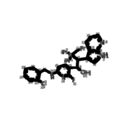 CC(C)[Si](C(C)C)(C(C)C)C(c1c[nH]c2ncccc12)C(O)c1ccc(NCc2ccccc2Cl)nc1F